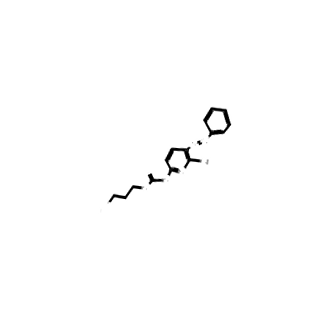 CCCCNC(=O)Nc1ccc(N=Nc2ccccc2)c(N)n1